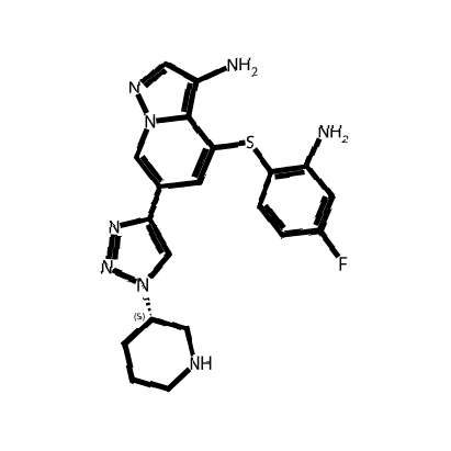 Nc1cc(F)ccc1Sc1cc(-c2cn([C@H]3CCCNC3)nn2)cn2ncc(N)c12